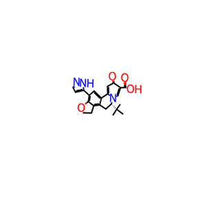 CC(C)(C)[C@@H]1Cc2c(cc(-c3ccn[nH]3)c3c2CCO3)-c2cc(=O)c(C(=O)O)cn21